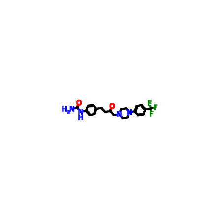 NC(=O)Nc1ccc(CCC(=O)CN2CCN(c3ccc(C(F)(F)F)cc3)CC2)cc1